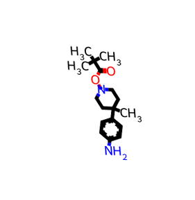 CC(C)(C)C(=O)ON1CCC(C)(c2ccc(N)cc2)CC1